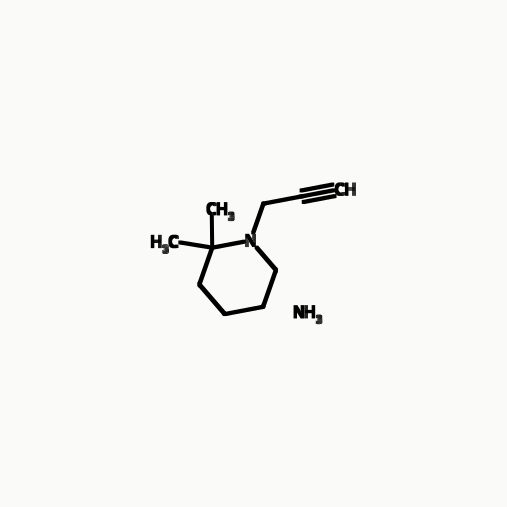 C#CCN1CCCCC1(C)C.N